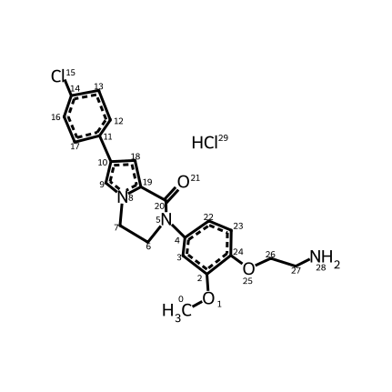 COc1cc(N2CCn3cc(-c4ccc(Cl)cc4)cc3C2=O)ccc1OCCN.Cl